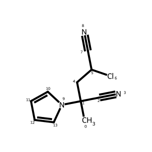 CC(C#N)(CC(Cl)C#N)n1cccc1